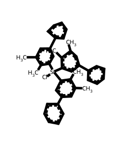 Cc1cc(-c2ccccc2)cc([Si](Cl)(c2cc(-c3ccccc3)cc(C)c2C)c2cc(-c3ccccc3)cc(C)c2C)c1C